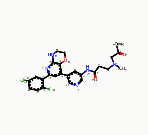 COC(=O)CN(C)CCC(=O)Nc1cncc(-c2cc(-c3cc(Cl)ccc3F)nc3c2OCCN3)c1